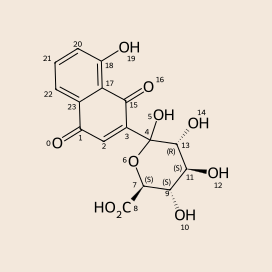 O=C1C=C(C2(O)O[C@H](C(=O)O)[C@@H](O)[C@H](O)[C@H]2O)C(=O)c2c(O)cccc21